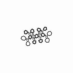 c1ccc(N2c3ccccc3B3c4cc5c(cc4N(c4ccccc4)c4cc(N(C6CCCCCC6)C6CCCCCC6)cc2c43)N(c2ccccc2)c2cc(N(C3CCCCCC3)C3CCCCCC3)cc3c2B5c2ccccc2N3c2ccccc2)cc1